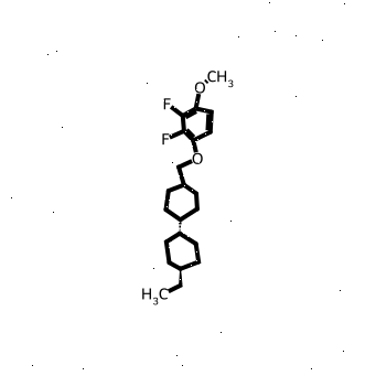 CC[C@H]1CC[C@H](C2CCC(COc3ccc(OC)c(F)c3F)CC2)CC1